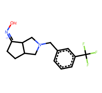 O/N=C1/CCC2CN(Cc3cccc(C(F)(F)F)c3)CC12